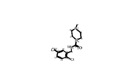 CN1CCN(C(=O)NCc2cc(Cl)ccc2Cl)CC1